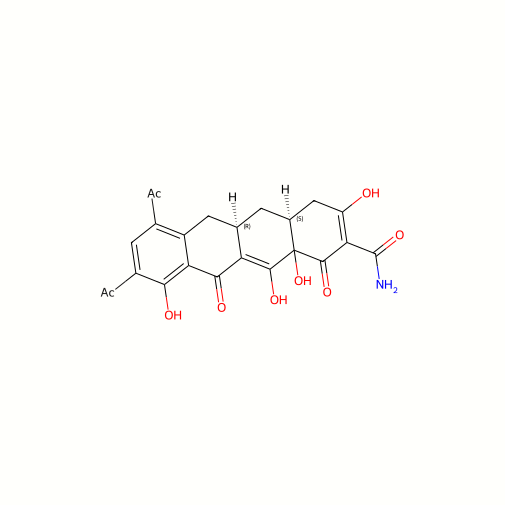 CC(=O)c1cc(C(C)=O)c2c(c1O)C(=O)C1=C(O)C3(O)C(=O)C(C(N)=O)=C(O)C[C@@H]3C[C@@H]1C2